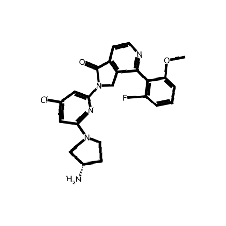 COc1cccc(F)c1-c1nccc2c1CN(c1cc(Cl)cc(N3CC[C@H](N)C3)n1)C2=O